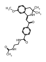 COc1ccc2c(c1)/C(=C/C(=O)c1ccc(C(=O)NCCNC(C)=O)cc1)NC(C)(C)C2